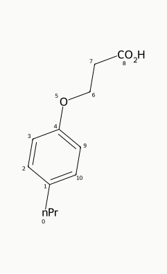 CCCc1ccc(OCCC(=O)O)cc1